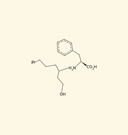 CC(C)CCCC(C)CCO.N[C@@H](Cc1ccccc1)C(=O)O